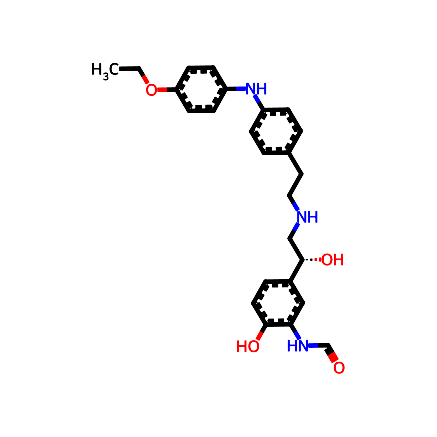 CCOc1ccc(Nc2ccc(CCNC[C@H](O)c3ccc(O)c(NC=O)c3)cc2)cc1